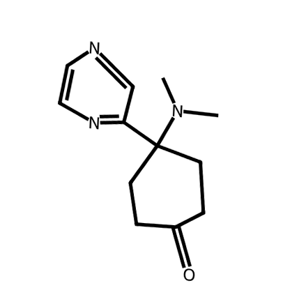 CN(C)C1(c2cnccn2)CCC(=O)CC1